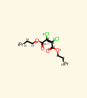 CC(C)CCOC(=O)/C(Cl)=C(/Cl)C(=O)OCCC(C)C